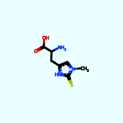 Cn1cc(CC(N)C(=O)O)[nH]c1=S